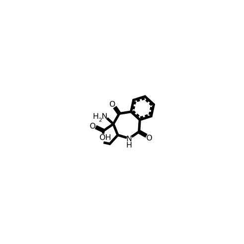 CCC1NC(=O)c2ccccc2C(=O)C1(N)C(=O)O